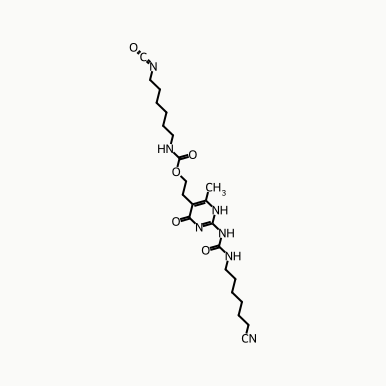 Cc1[nH]c(NC(=O)NCCCCCCC#N)nc(=O)c1CCOC(=O)NCCCCCCN=C=O